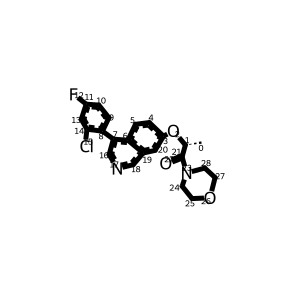 C[C@@H](Oc1ccc2c(-c3ccc(F)cc3Cl)cncc2c1)C(=O)N1CCOCC1